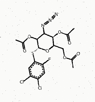 CC(=O)OCC1O[C@H](Sc2cc(Cl)c(Cl)cc2F)C(OC(C)=O)C(N=[N+]=[N-])[C@H]1OC(C)=O